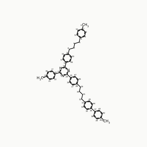 Cc1ccc(CCCCc2ccc(-c3nc(-c4ccc(C)cc4)nc(-c4ccc(CCCCc5ccc(-c6ccc(C)cc6)cc5)cc4)n3)cc2)cc1